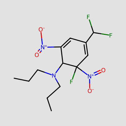 CCCN(CCC)C1C([N+](=O)[O-])=CC(C(F)F)=CC1(F)[N+](=O)[O-]